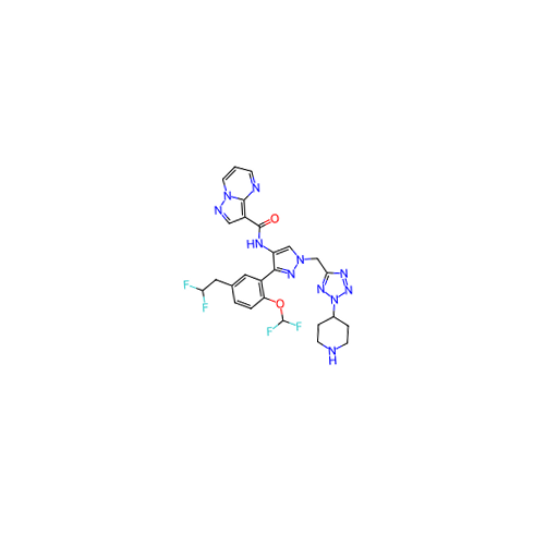 O=C(Nc1cn(Cc2nnn(C3CCNCC3)n2)nc1-c1cc(CC(F)F)ccc1OC(F)F)c1cnn2cccnc12